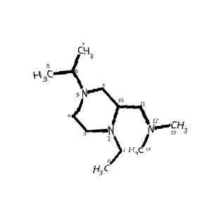 CCN1CCN(C(C)C)CC1CN(C)C